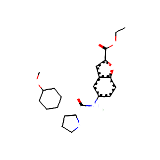 CCOC(=O)c1cc2cc(NC(=O)[C@@H]3NCC[C@@H]3C3CCC(OC)CC3)ccc2o1.Cl